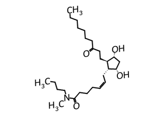 CCCCCCCC(=O)CC[C@@H]1[C@@H](C/C=C\CCCC(=O)N(C)CCCC)[C@@H](O)C[C@H]1O